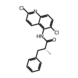 C[C@H](Cc1ccccc1)C(=O)Nc1c(Cl)ccc2nc(Cl)ccc12